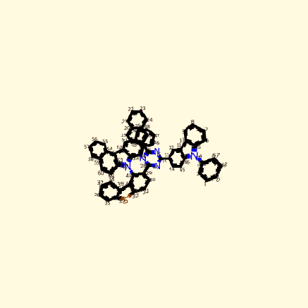 c1ccc(-n2c3ccccc3c3cc(-c4nc(-c5ccc6ccccc6c5)nc(-c5ccc6sc7ccccc7c6c5-n5c6cc7ccccc7cc6c6c7ccccc7ccc65)n4)ccc32)cc1